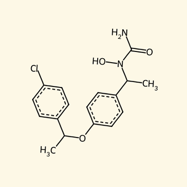 CC(Oc1ccc(C(C)N(O)C(N)=O)cc1)c1ccc(Cl)cc1